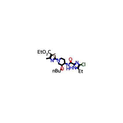 CCCCOC1CN(c2nc(C)c(C(=O)OCC)s2)CCC1NC(=O)c1nc(Cl)c(CC)[nH]1